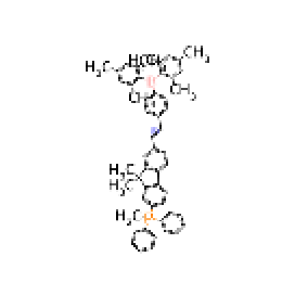 C=P(c1ccccc1)(c1ccccc1)c1ccc2c(c1)C(C)(C)c1cc(/C=C/c3ccc(B(c4c(C)cc(C)cc4C)c4c(C)cc(C)cc4C)cc3)ccc1-2